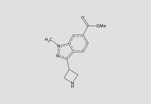 COC(=O)c1ccc2c(C3CNC3)nn(C)c2c1